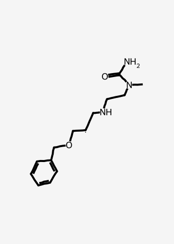 CN(CCNC[CH]COCc1ccccc1)C(N)=O